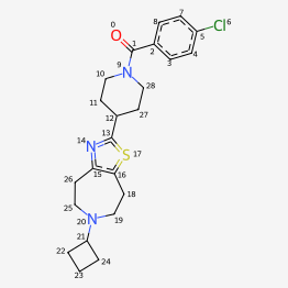 O=C(c1ccc(Cl)cc1)N1CCC(c2nc3c(s2)CCN(C2CCC2)CC3)CC1